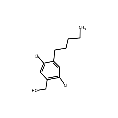 CCCCCc1cc(Cl)c(CO)cc1Cl